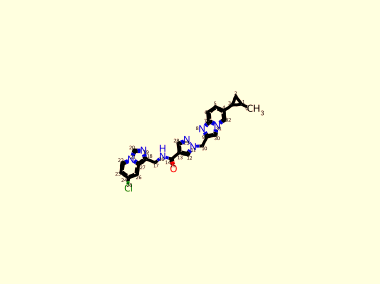 CC1CC1c1ccc2nc(Cn3cc(C(=O)NCc4ncn5ccc(Cl)cc45)cn3)cn2c1